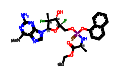 CNc1nc(N)nc2c1ncn2[C@@H]1O[C@](F)(COP(=S)(N[C@@H](C)C(=O)OCC(C)(C)C)Oc2cccc3ccccc23)[C@@H](O)[C@@]1(C)F